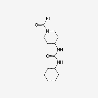 CCC(=O)N1CCC(NC(=O)NC2CCCCC2)CC1